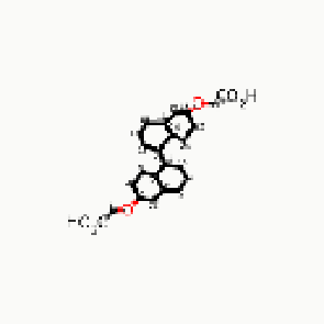 O=C(O)COC1CCC2C(CCCC2C2CCCC3CC(OCC(=O)O)CCC32)C1